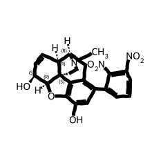 CN1CC[C@]23c4c5c(-c6cccc([N+](=O)[O-])c6[N+](=O)[O-])cc(O)c4O[C@H]2[C@@H](O)C=C[C@H]3[C@H]1C5